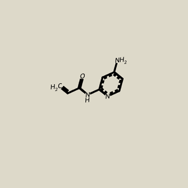 C=CC(=O)Nc1cc(N)ccn1